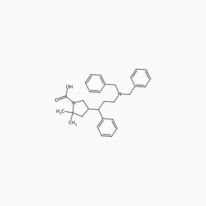 CC1(C)CC(C(CCN(Cc2ccccc2)Cc2ccccc2)c2ccccc2)CN1C(=O)O